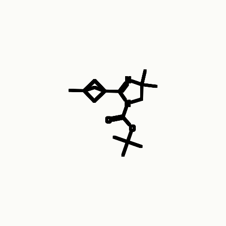 CC12CC(C3=NC(C)(C)CN3C(=O)OC(C)(C)C)(C1)C2